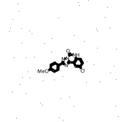 COc1ccc(-c2nc3c4cc(Cl)ccc4[nH]c(=O)n3n2)cc1